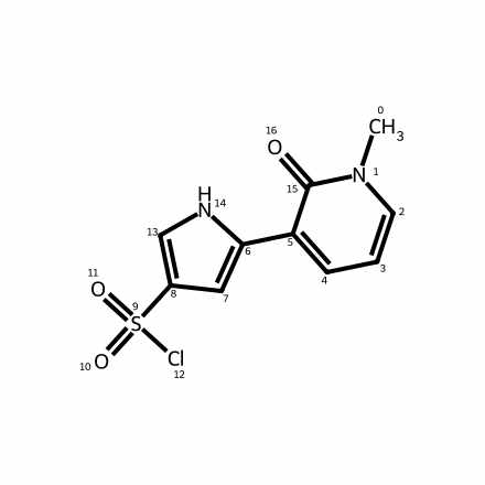 Cn1cccc(-c2cc(S(=O)(=O)Cl)c[nH]2)c1=O